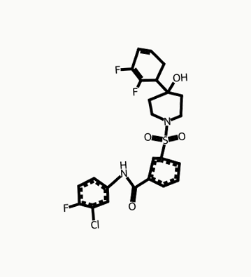 O=C(Nc1ccc(F)c(Cl)c1)c1cccc(S(=O)(=O)N2CCC(O)(C3CC=CC(F)=C3F)CC2)c1